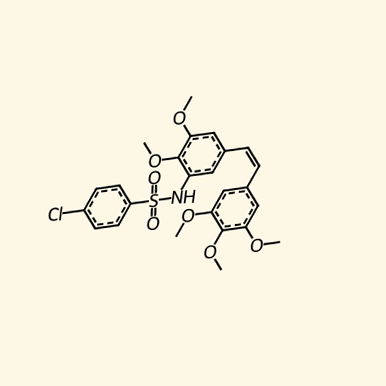 COc1cc(/C=C\c2cc(OC)c(OC)c(OC)c2)cc(NS(=O)(=O)c2ccc(Cl)cc2)c1OC